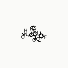 CCOC(=O)C1=C2C[C@H](CNC(C)=O)CN2C(c2nccs2)=N[C@H]1c1ccc(F)cc1C